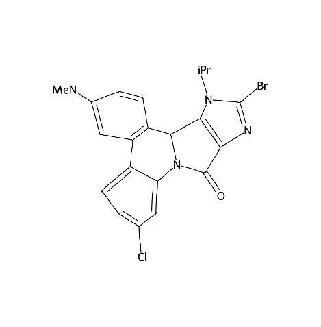 CNc1ccc2c(c1)-c1ccc(Cl)cc1N1C(=O)c3nc(Br)n(C(C)C)c3C21